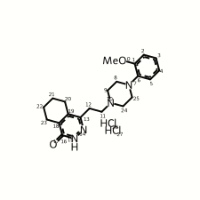 COc1ccccc1N1CCN(CCc2n[nH]c(=O)c3c2CCCC3)CC1.Cl.Cl